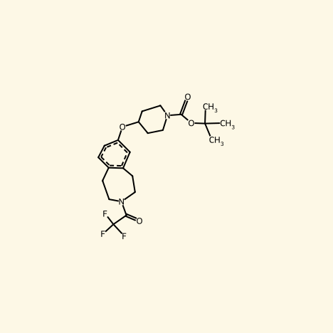 CC(C)(C)OC(=O)N1CCC(Oc2ccc3c(c2)CCN(C(=O)C(F)(F)F)CC3)CC1